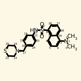 CN(C)c1cccc2c(S(=O)(=O)Nc3ccc(CN4CCSCC4)cc3)cccc12